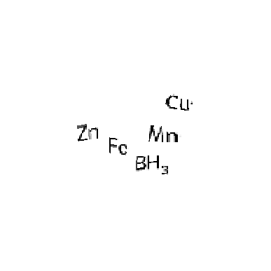 B.[Cu].[Fe].[Mn].[Zn]